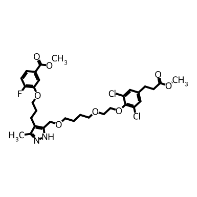 COC(=O)CCc1cc(Cl)c(OCCOCCCCOCc2[nH]nc(C)c2CCCOc2cc(C(=O)OC)ccc2F)c(Cl)c1